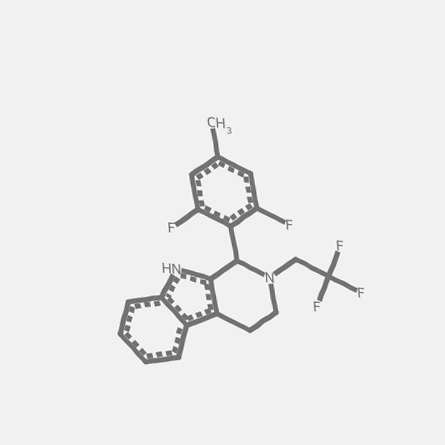 Cc1cc(F)c(C2c3[nH]c4ccccc4c3CCN2CC(F)(F)F)c(F)c1